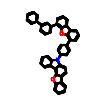 c1ccc(-c2cccc(-c3cccc4c3oc3c(-c5ccc(-n6c7ccccc7c7c8oc9ccccc9c8ccc76)cc5)cccc34)c2)cc1